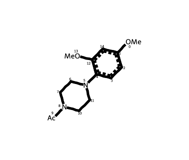 COc1ccc(N2CCN(C(C)=O)CC2)c(OC)c1